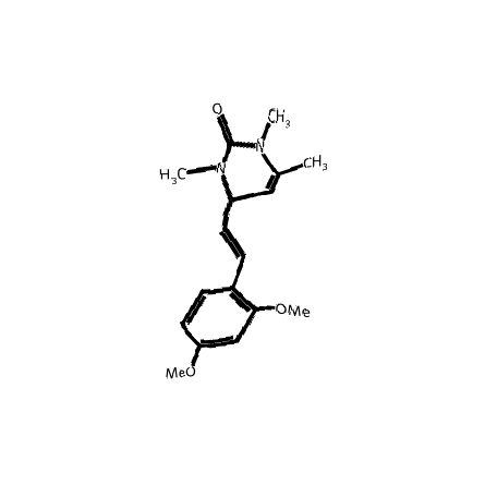 COc1ccc(/C=C/C2C=C(C)N(C)C(=O)N2C)c(OC)c1